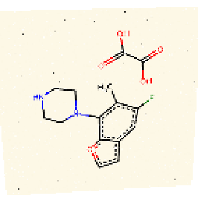 Cc1c(F)cc2ccoc2c1N1CCNCC1.O=C(O)C(=O)O